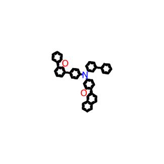 c1ccc(-c2cccc(N(c3ccc(-c4cccc5c4oc4ccccc45)cc3)c3ccc4c(c3)oc3c5ccccc5ccc43)c2)cc1